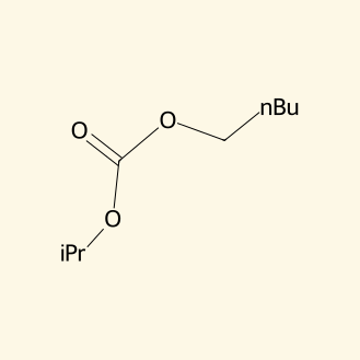 [CH2]CCCCOC(=O)OC(C)C